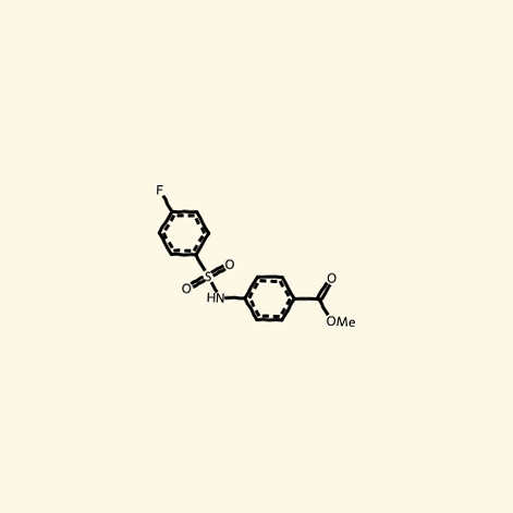 COC(=O)c1ccc(NS(=O)(=O)c2ccc(F)cc2)cc1